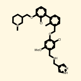 COc1cc(OCc2cccc(-c3cccc(OCC4CCCN(C)C4)c3Cl)c2C)c(Cl)cc1CNCc1cn[nH]c1